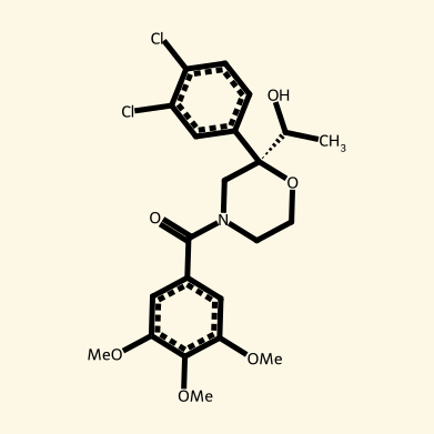 COc1cc(C(=O)N2CCO[C@@](c3ccc(Cl)c(Cl)c3)(C(C)O)C2)cc(OC)c1OC